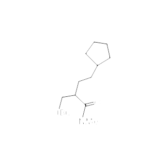 CNC(=O)C(CCC1CCCC1)CC(C)(C)C